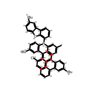 Cc1cc(N(c2cccc(Cl)c2)c2ccc(C(C)(C)C)cc2-c2ccccc2)cc(N(c2ccc(C(C)(C)C)cc2-c2ccccc2)c2cccc3c2oc2ccc(C(C)(C)C)cc23)c1